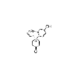 C=CC[C@]1(c2ccc(O)cc2CCC)C=CC(=O)CC1